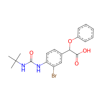 CC(C)(C)NC(=O)Nc1ccc(C(Oc2ccccc2)C(=O)O)cc1Br